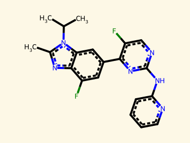 Cc1nc2c(F)cc(-c3nc(Nc4ccccn4)ncc3F)cc2n1C(C)C